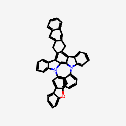 c1ccc(-n2c3ccccc3c3c4c(c5c6ccccc6n(-c6ccc7oc8ccccc8c7c6)c5c32)Cc2cc3ccccc3cc2C4)cc1